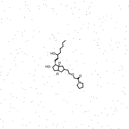 CCCCCC(O)C=C[C@H]1[C@@H]2CC(CCOCC(=O)N3CCCC3)C[C@H]2C[C@@H]1O